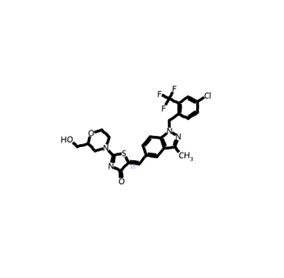 Cc1nn(Cc2ccc(Cl)cc2C(F)(F)F)c2ccc(/C=C3\SC(N4CCOC(CO)C4)=NC3=O)cc12